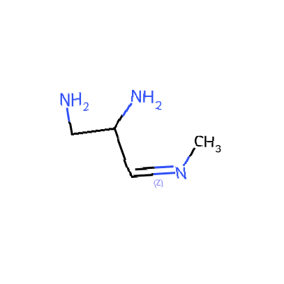 C/N=C\C(N)CN